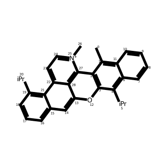 Cc1c2c(c(C(C)C)c3ccccc13)Oc1cc3cccc(C(C)C)c3c3cc[n+](C)c-2c13